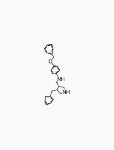 c1ccc(COc2ccc(NC[C@H]3CNC[C@H]3Cc3ccccc3)cc2)cc1